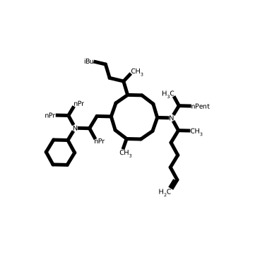 C=CCCCC(C)N(C(C)CCCCC)C1CCC(C)CC(CC(CCC)N(C(CCC)CCC)C2CCCCC2)CC(C(C)CCC(C)CC)CC1